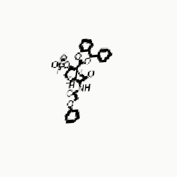 O=C(COc1ccccc1)NC1C(=O)N2C(C(=O)OC(c3ccccc3)c3ccccc3)=C(OS(=O)(=O)F)CS[C@H]12